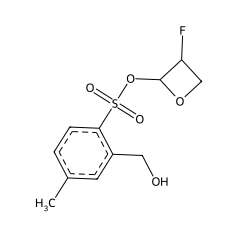 Cc1ccc(S(=O)(=O)OC2OCC2F)c(CO)c1